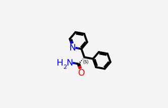 NC(=O)[C@@H](c1ccccc1)c1ccccn1